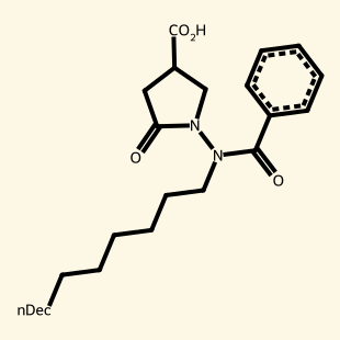 CCCCCCCCCCCCCCCCN(C(=O)c1ccccc1)N1CC(C(=O)O)CC1=O